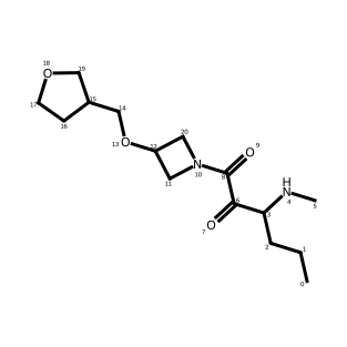 CCCC(NC)C(=O)C(=O)N1CC(OCC2CCOC2)C1